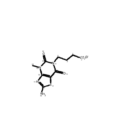 CCOC(=O)CCCn1c(=O)c2sc(N)nc2n(C)c1=O